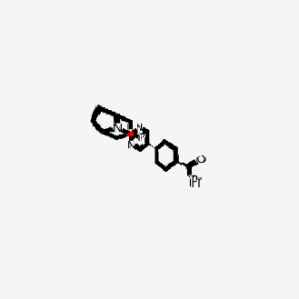 CC(C)C(=O)[C@H]1CC[C@H](c2cnc(N3C4CCC3CN(C(C)C)C4)nc2)CC1